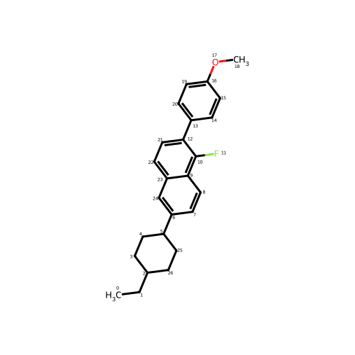 CCC1CCC(c2ccc3c(F)c(-c4ccc(OC)cc4)ccc3c2)CC1